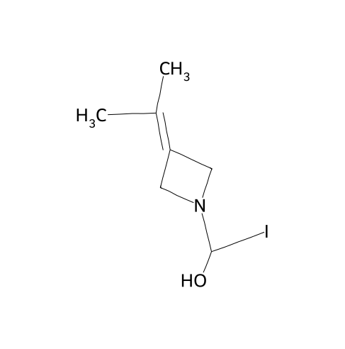 CC(C)=C1CN(C(O)I)C1